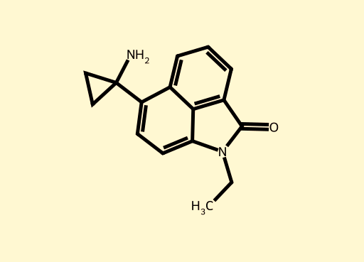 CCN1C(=O)c2cccc3c(C4(N)CC4)ccc1c23